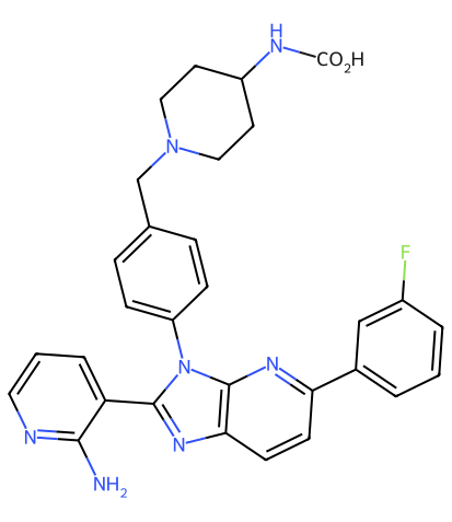 Nc1ncccc1-c1nc2ccc(-c3cccc(F)c3)nc2n1-c1ccc(CN2CCC(NC(=O)O)CC2)cc1